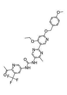 CCOc1cc(OCc2ccc(OC)cc2)ncc1-c1ncc(NC(=O)Nc2cnc(C(C)=O)c(C(F)(F)F)c2)c(C)n1